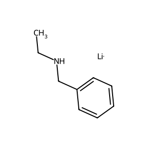 CCNCc1ccccc1.[Li]